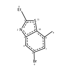 CCc1nc2cc(Br)cc(C)c2s1